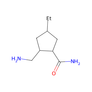 CCC1CC(CN)C(C(N)=O)C1